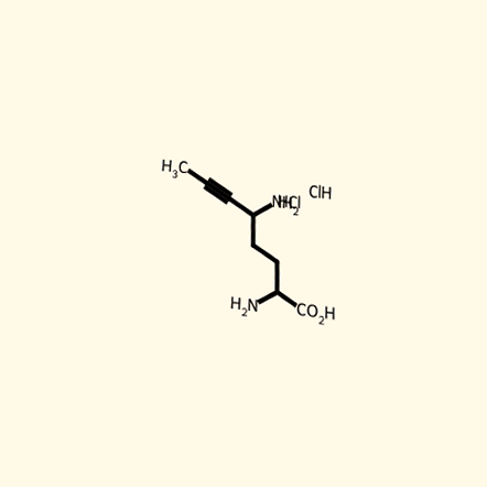 CC#CC(N)CCC(N)C(=O)O.Cl.Cl